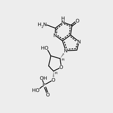 Nc1nc2c(ncn2[C@@H]2O[C@H](OP(=O)(O)O)CC2O)c(=O)[nH]1